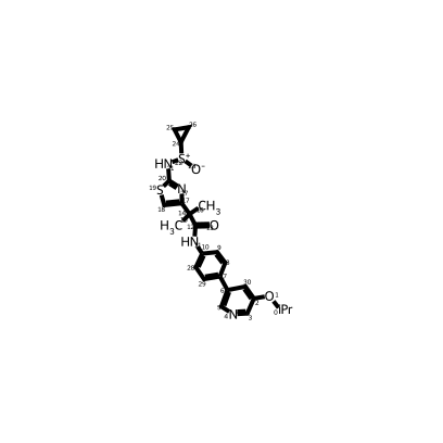 CC(C)Oc1cncc(-c2ccc(NC(=O)C(C)(C)c3csc(N[S+]([O-])C4CC4)n3)cc2)c1